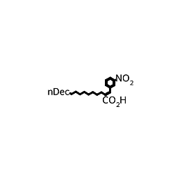 CCCCCCCCCCCCCCCCCCC(=Cc1cccc([N+](=O)[O-])c1)C(=O)O